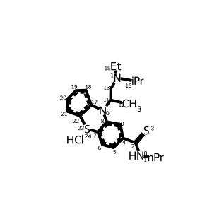 CCCNC(=S)c1ccc2c(c1)N(C(C)CN(CC)C(C)C)c1ccccc1S2.Cl